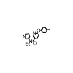 CCN(C(=O)c1ccc(Oc2ccc(C)cc2)nc1)c1cccnc1